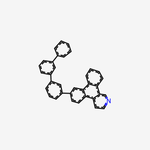 c1ccc(-c2cccc(-c3cccc(-c4ccc5c6ccncc6c6ccccc6c5c4)c3)c2)cc1